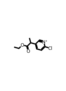 CCOC(=O)C(C)c1c#[n+]c(Cl)cc1